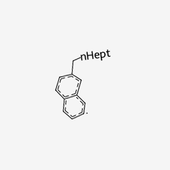 CCCCCCCCc1ccc2cc[c]cc2c1